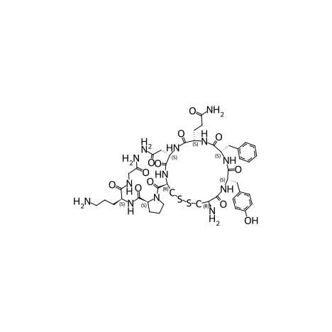 NCCC[C@H](NC(=O)[C@@H]1CCCN1C(=O)[C@@H]1CSSC[C@H](N)C(=O)N[C@@H](Cc2ccc(O)cc2)C(=O)N[C@@H](Cc2ccccc2)C(=O)N[C@@H](CCC(N)=O)C(=O)N[C@@H](CC(N)=O)C(=O)N1)C(=O)NCC(N)=O